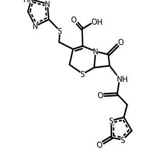 O=C(Cc1csc(=O)s1)NC1C(=O)N2C(C(=O)O)=C(CSc3nc[nH]n3)CSC12